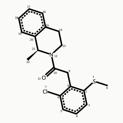 CSc1cccc(Cl)c1CC(=O)N1CCc2ccccc2[C@@H]1C